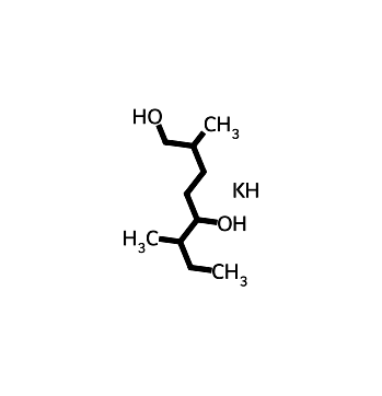 CCC(C)C(O)CCC(C)CO.[KH]